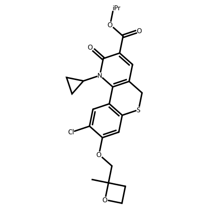 CC(C)OC(=O)c1cc2c(n(C3CC3)c1=O)-c1cc(Cl)c(OCC3(C)CCO3)cc1SC2